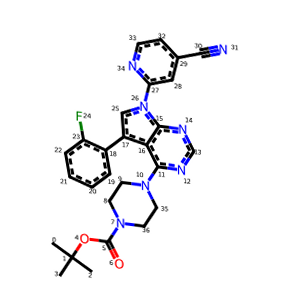 CC(C)(C)OC(=O)N1CCN(c2ncnc3c2c(-c2ccccc2F)cn3-c2cc(C#N)ccn2)CC1